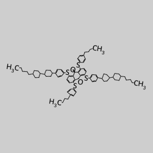 CCCCCC1CCC(C2CCC(c3ccc(Sc4ccc(Sc5ccc(CCCC)cc5)c5c4C(=O)c4c(Sc6ccc(CCCC)cc6)ccc(Sc6ccc(C7CCC(C8CCC(CCCCC)CC8)CC7)cc6)c4C5=O)cc3)CC2)CC1